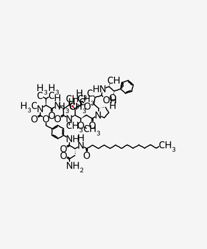 CCCCCCCCCCCCCC(=O)N[C@H](CC(N)=O)C(=O)Nc1ccc(COC(=O)N(C)[C@H](C(=O)N[C@H](C(=O)N(C)[C@@H]([C@@H](C)CC)[C@@H](CC(=O)N2CCC[C@H]2[C@H](OC)[C@@H](C)C(O)N[C@H](C)[C@@H](O)c2ccccc2)OC)C(C)C)C(C)C)cc1